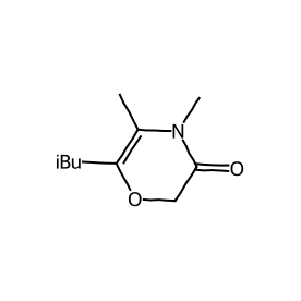 CCC(C)C1=C(C)N(C)C(=O)CO1